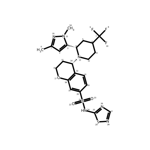 Cc1cc([C@@H]2CC(C(F)(F)F)CCN2[C@H]2CCOc3cc(S(=O)(=O)Nc4ncns4)ccc32)n(C)n1